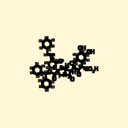 O=C(N[C@@H]1C(=O)N2C[C@@](C(=O)OC(c3ccccc3)c3ccccc3)(N3CCN(/N=C/c4ccccc4)C3=O)S[C@H]12)C(c1cc(O)c(O)cc1Cl)S(=O)(=O)O